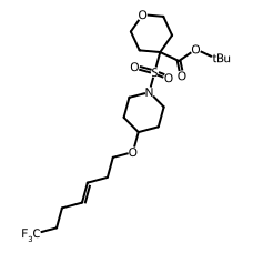 CC(C)(C)OC(=O)C1(S(=O)(=O)N2CCC(OCCC=CCCC(F)(F)F)CC2)CCOCC1